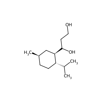 CC(C)[C@@H]1CC[C@@H](C)C[C@H]1C(O)CCO